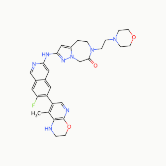 Cc1c(-c2cc3cc(Nc4cc5n(n4)CC(=O)N(CCN4CCOCC4)CC5)ncc3cc2F)cnc2c1NCCO2